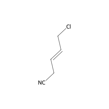 N#CC/C=C/CCl